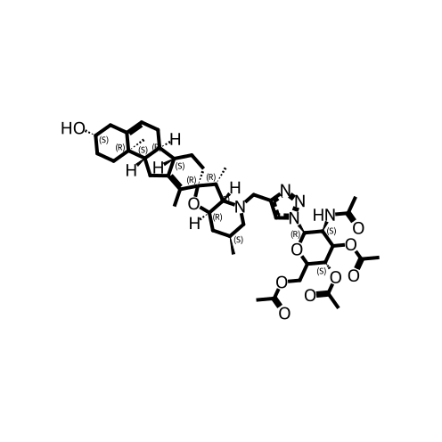 CC(=O)N[C@H]1C(OC(C)=O)[C@H](OC(C)=O)C(COC(C)=O)O[C@H]1n1cc(CN2C[C@@H](C)C[C@H]3O[C@]4(CC[C@@H]5C(=C4C)C[C@H]4[C@H]5CC=C5C[C@@H](O)CC[C@@]54C)[C@H](C)[C@@H]32)nn1